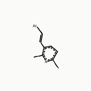 CC(=O)/C=C/c1ccc(C)nc1C